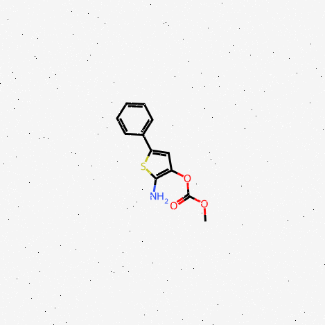 COC(=O)Oc1cc(-c2ccccc2)sc1N